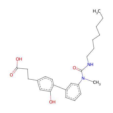 CCCCCCCNC(=O)N(C)c1cccc(-c2ccc(CCC(=O)O)cc2O)c1